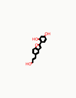 OC/C=C/c1ccc2oc(-c3ccc(O)cc3O)cc2c1